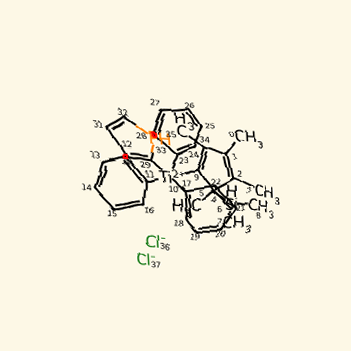 CC1=C(C)C(C)([SiH](C)C)[C]([Ti+2]([c]2ccccc2)([c]2ccccc2)([c]2ccccc2)[c]2ccc[pH]2)=C1C.[Cl-].[Cl-]